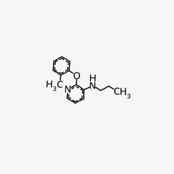 CCCNc1cccnc1Oc1ccccc1C